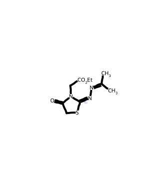 CCOC(=O)CN1C(=O)CS/C1=N/N=C(C)C